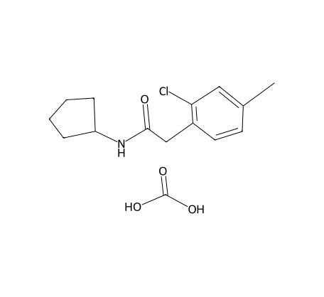 Cc1ccc(CC(=O)NC2CCCC2)c(Cl)c1.O=C(O)O